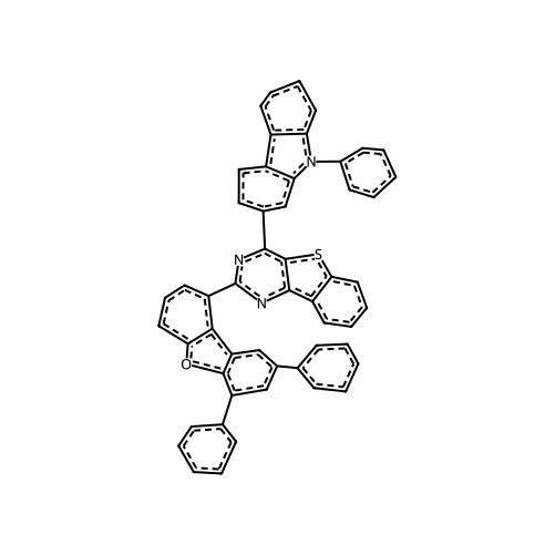 c1ccc(-c2cc(-c3ccccc3)c3oc4cccc(-c5nc(-c6ccc7c8ccccc8n(-c8ccccc8)c7c6)c6sc7ccccc7c6n5)c4c3c2)cc1